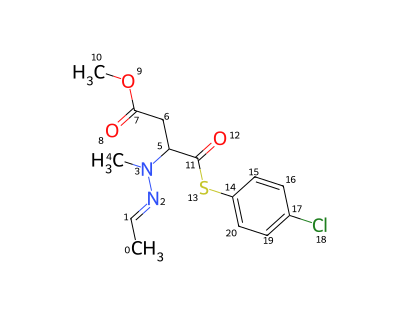 C/C=N/N(C)C(CC(=O)OC)C(=O)Sc1ccc(Cl)cc1